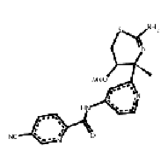 COC1CSC(N)=N[C@]1(C)c1cc(NC(=O)c2ccc(C#N)cn2)ccn1